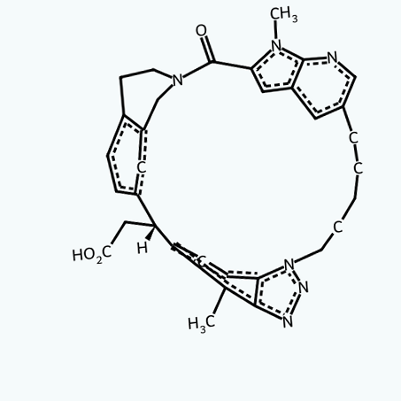 Cc1c2ccc3c1nnn3CCCCCc1cnc3c(c1)cc(n3C)C(=O)N1CCc3ccc(cc3C1)[C@H]2CC(=O)O